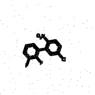 O=[N+]([O-])c1ccc(Cl)cc1-c1cccc(F)c1F